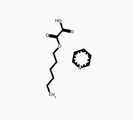 CCCCCCOC(=O)C(=O)O.c1ccncc1